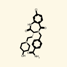 NC(=O)c1ccc(CN2C(=O)c3ccc(Cl)cc3NC(=O)[C@H]2CCN2CCC(O)CC2)cc1